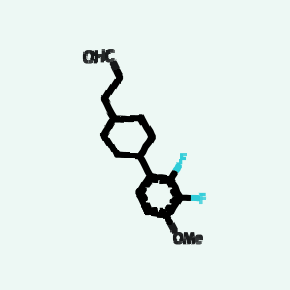 COc1ccc(C2CCC(CCC=O)CC2)c(F)c1F